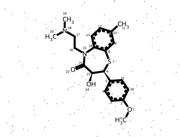 COc1ccc([C@@H]2Sc3cc(C)ccc3N(CCN(C)C)C(=O)[C@@H]2O)cc1